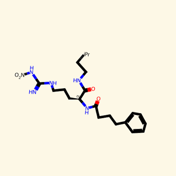 CC(C)C[CH]NC(=O)[C@H](CCCNC(=N)N[N+](=O)[O-])NC(=O)CCCc1ccccc1